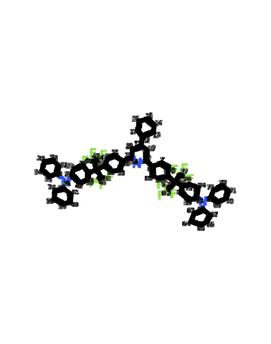 FC(F)(F)C(c1ccc(-c2cc(-c3ccccc3)cc(-c3ccc(C(c4ccc(N(c5ccccc5)c5ccccc5)cc4)(C(F)(F)F)C(F)(F)F)cc3)n2)cc1)(c1ccc(N(c2ccccc2)c2ccccc2)cc1)C(F)(F)F